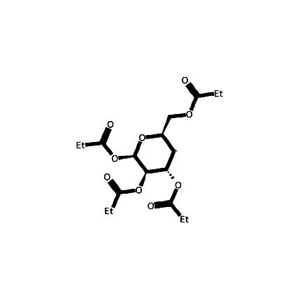 CCC(=O)OC[C@H]1[CH][C@H](OC(=O)CC)[C@@H](OC(=O)CC)[C@@H](OC(=O)CC)O1